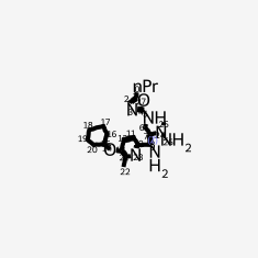 CCCc1cnc(NC/C(=C(/N)c2ccc(OC3CCCCC3)c(C)n2)N(C)N)o1